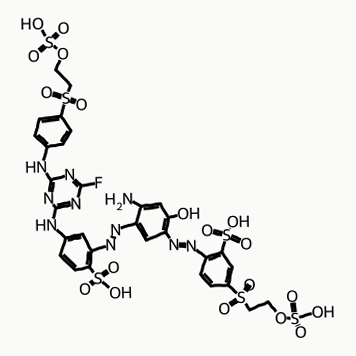 Nc1cc(O)c(/N=N/c2ccc(S(=O)(=O)CCOS(=O)(=O)O)cc2S(=O)(=O)O)cc1/N=N/c1cc(Nc2nc(F)nc(Nc3ccc(S(=O)(=O)CCOS(=O)(=O)O)cc3)n2)ccc1S(=O)(=O)O